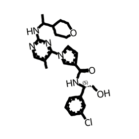 Cc1cnc(NC(C)C2CCOCC2)nc1-n1ccc(C(=O)N[C@H](CO)c2cccc(Cl)c2)c1